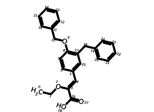 CCOC(=Cc1ccc(OCc2ccccc2)c(Cc2ccccc2)c1)C(=O)O